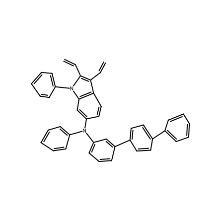 C=Cc1c(C=C)n(-c2ccccc2)c2cc(N(c3ccccc3)c3cccc(-c4ccc(-c5ccccc5)cc4)c3)ccc12